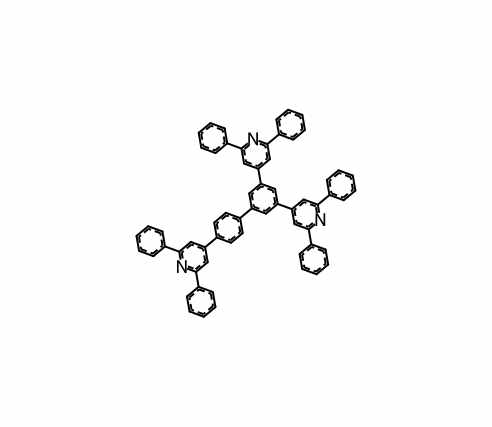 c1ccc(-c2cc(-c3ccc(-c4cc(-c5cc(-c6ccccc6)nc(-c6ccccc6)c5)cc(-c5cc(-c6ccccc6)nc(-c6ccccc6)c5)c4)cc3)cc(-c3ccccc3)n2)cc1